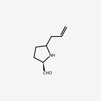 C=CCC1CC[C@H](C=O)N1